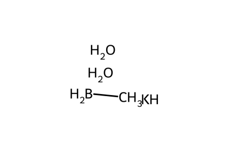 BC.O.O.[KH]